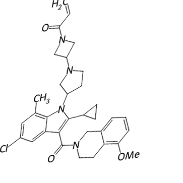 C=CC(=O)N1CC(N2CCC(n3c(C4CC4)c(C(=O)N4CCc5c(cccc5OC)C4)c4cc(Cl)cc(C)c43)C2)C1